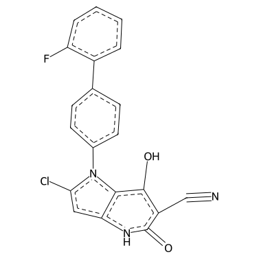 N#Cc1c(O)c2c(cc(Cl)n2-c2ccc(-c3ccccc3F)cc2)[nH]c1=O